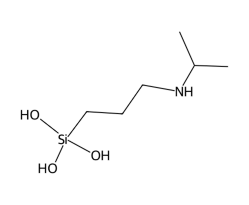 CC(C)NCCC[Si](O)(O)O